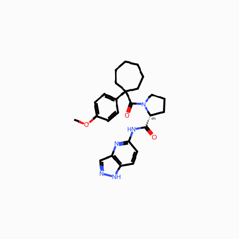 COc1ccc(C2(C(=O)N3CCC[C@@H]3C(=O)Nc3ccc4[nH]ncc4n3)CCCCCC2)cc1